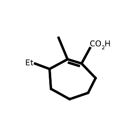 CCC1CCCCC(C(=O)O)=C1C